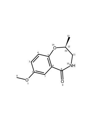 COc1ccc2c(c1)C(=O)NC[C@H](C)O2